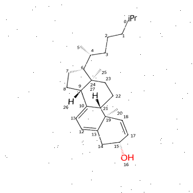 CC(C)CCC[C@@H](C)[C@H]1CC[C@H]2C3=CC=C4C[C@@H](O)C=C[C@]4(C)[C@H]3CC[C@]12C